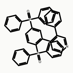 O=P(c1ccccc1)(c1ccccc1)c1ccc(P(=O)(c2ccccc2)c2ccccc2)c(-c2ccncc2-c2ccccc2)c1